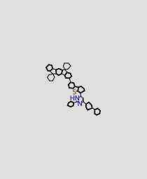 C1=C(c2ccc(-c3ccccc3)cc2)N=C(c2ccccc2)NC1c1cccc2c1sc1ccc(-c3ccc4c(c3)-c3cc5c(cc3C43CCCCC3)-c3ccccc3C53CCCCC3)cc12